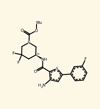 CC(C)(C)OC(=O)N1C[C@@H](NC(=O)c2sc(-c3cccc(F)c3)cc2N)CC(F)(F)C1